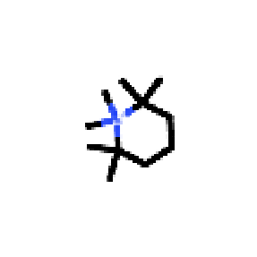 CC1(C)CCCC(C)(C)[N+]1(C)C